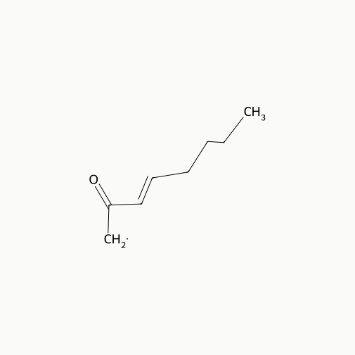 [CH2]C(=O)C=CCCCC